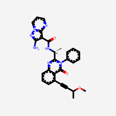 COC(C)C#Cc1cccc2nc([C@@H](C)NC(=O)c3c(N)nn4cccnc34)n(-c3ccccc3)c(=O)c12